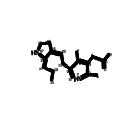 C=C(C)C/C(C(C)=N)=C(\C)C(=C)C/C=C1/CCN/C1=C/CC